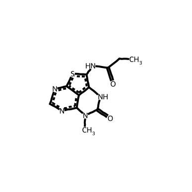 CCC(=O)Nc1sc2ncnc3c2c1NC(=O)N3C